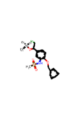 CC[Si](CC)(CC)OC(CBr)c1ccc(OCc2ccccc2)c(NS(C)(=O)=O)c1